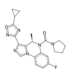 C[C@@H]1c2c(-c3noc(C4CC4)n3)ncn2-c2ccc(F)cc2N1C(=O)N1CCCC1